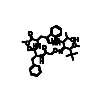 COC(=O)C(Cc1c[nH]c2ccccc12)NC(=O)[C@H](Cc1ccccc1)NC(=O)CO/N=C(\C(O)C(C)O)[C@@H](OC)C(C)(C)C